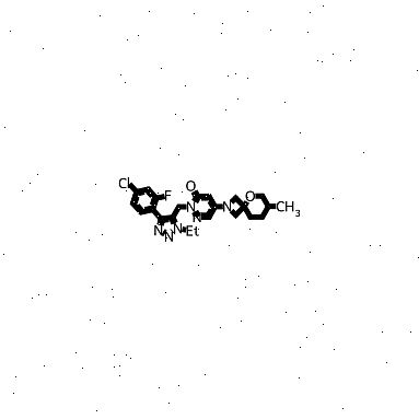 CCn1nnc(-c2ccc(Cl)cc2F)c1Cn1ncc(N2CC3(CCC(C)CO3)C2)cc1=O